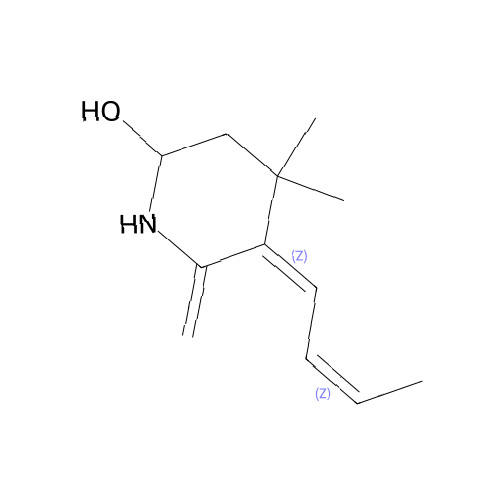 C=C1NC(O)CC(C)(C)/C1=C/C=C\C